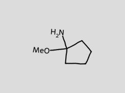 COC1(N)CCCC1